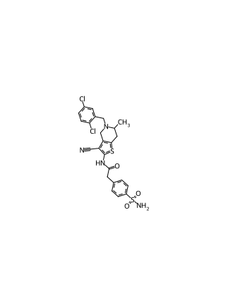 CC1Cc2sc(NC(=O)Cc3ccc(S(N)(=O)=O)cc3)c(C#N)c2CN1Cc1cc(Cl)ccc1Cl